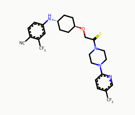 N#Cc1ccc(N[C@H]2CC[C@H](OCC(=S)N3CCN(c4ccc(C(F)(F)F)cn4)CC3)CC2)cc1C(F)(F)F